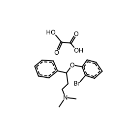 CN(C)CCC(Oc1ccccc1Br)c1ccccc1.O=C(O)C(=O)O